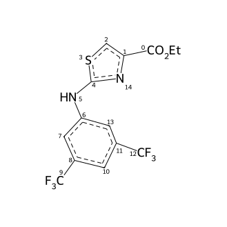 CCOC(=O)c1csc(Nc2cc(C(F)(F)F)cc(C(F)(F)F)c2)n1